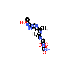 CC1(CN2C[C@H]3[C@H](CN4CCN5c6cc(-c7ccccc7O)nnc6NC[C@H]5C4)C3(C)C2)CCN(c2ccc3c(c2)C(=O)N(C2CCC(=O)NC2=O)C3=O)C1